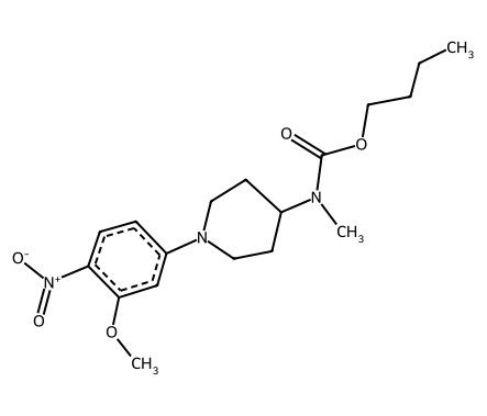 CCCCOC(=O)N(C)C1CCN(c2ccc([N+](=O)[O-])c(OC)c2)CC1